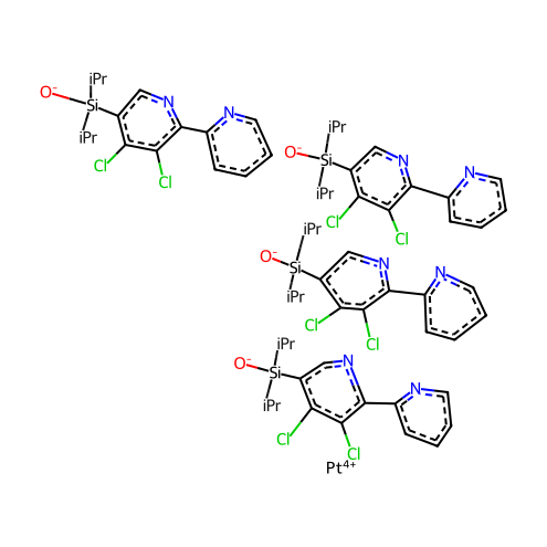 CC(C)[Si]([O-])(c1cnc(-c2ccccn2)c(Cl)c1Cl)C(C)C.CC(C)[Si]([O-])(c1cnc(-c2ccccn2)c(Cl)c1Cl)C(C)C.CC(C)[Si]([O-])(c1cnc(-c2ccccn2)c(Cl)c1Cl)C(C)C.CC(C)[Si]([O-])(c1cnc(-c2ccccn2)c(Cl)c1Cl)C(C)C.[Pt+4]